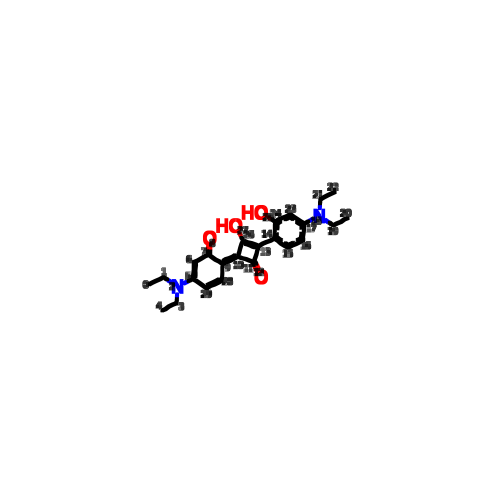 CCN(CC)C1=CC(=O)C(=C2C(=O)C(c3ccc(N(CC)CC)cc3O)=C2O)C=C1